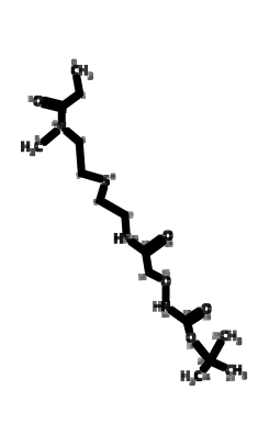 CCC(=O)N(C)CCSCCNC(=O)CONC(=O)OC(C)(C)C